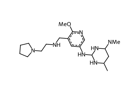 CNC1CC(C)NC(Nc2cnc(OC)c(CNCCN3CCCC3)c2)N1